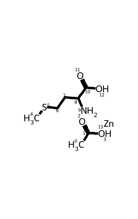 CC(=O)O.CSCCC(N)C(=O)O.[Zn]